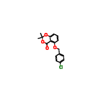 CC1(C)OC(=O)c2c(OCc3ccc(Cl)cc3)cccc2O1